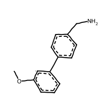 COc1[c]c(-c2ccc(CN)cc2)ccc1